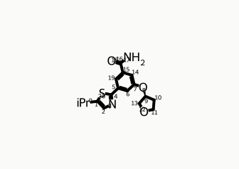 CC(C)c1cnc(-c2cc(O[C@H]3CCOC3)cc(C(N)=O)c2)s1